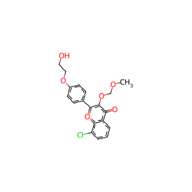 COCOc1c(-c2ccc(OCCO)cc2)oc2c(Cl)cccc2c1=O